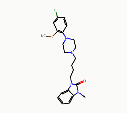 Cn1c(=O)n(CCCCN2CCN(c3ccc(F)cc3SC#N)CC2)c2ccccc21